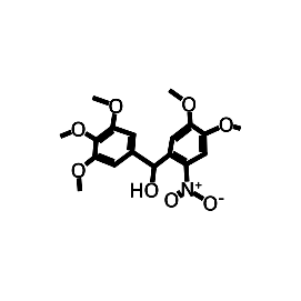 COc1cc(C(O)c2cc(OC)c(OC)c(OC)c2)c([N+](=O)[O-])cc1OC